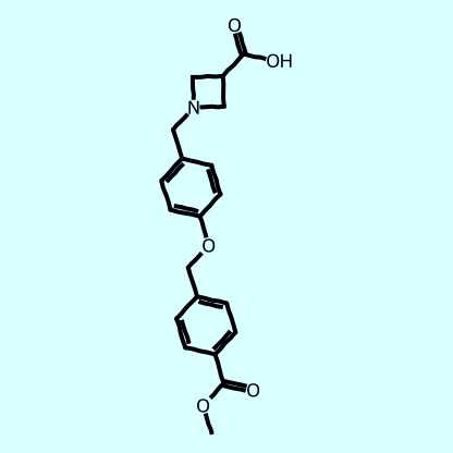 COC(=O)c1ccc(COc2ccc(CN3CC(C(=O)O)C3)cc2)cc1